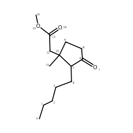 CCCCCC1C(=O)CCC1(C)CC(=O)OC